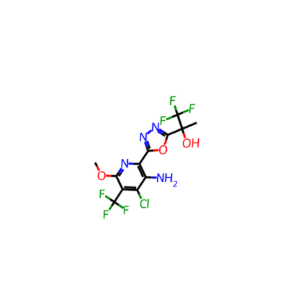 COc1nc(-c2nnc(C(C)(O)C(F)(F)F)o2)c(N)c(Cl)c1C(F)(F)F